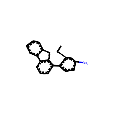 CCc1cc(N)ccc1-c1cccc2c1Cc1ccccc1-2